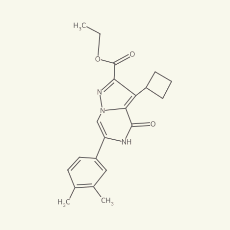 CCOC(=O)c1nn2cc(-c3ccc(C)c(C)c3)[nH]c(=O)c2c1C1CCC1